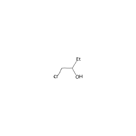 CCC(O)CCl